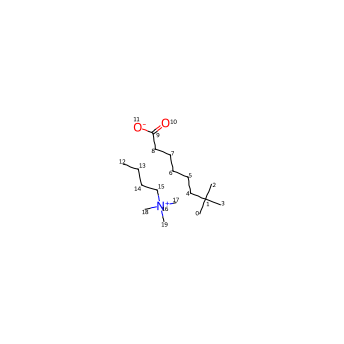 CC(C)(C)CCCCCC(=O)[O-].CCCC[N+](C)(C)C